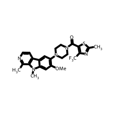 COc1cc2c(cc1N1CCN(C(=O)c3sc(C)nc3C(F)(F)F)CC1)c1ccnc(C)c1n2C